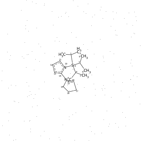 CC(C)[Si](C(C)C)(C(C)C)n1cccc1C1=CCCC1